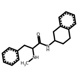 CNC(Cc1ccccc1)C(=O)NC1CCc2ccccc2C1